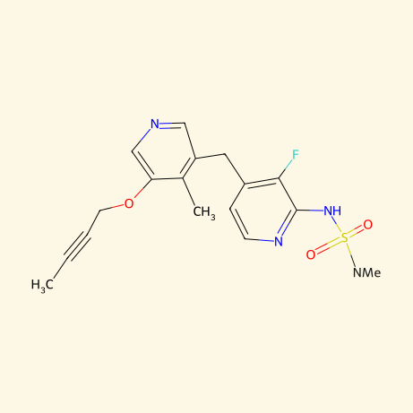 CC#CCOc1cncc(Cc2ccnc(NS(=O)(=O)NC)c2F)c1C